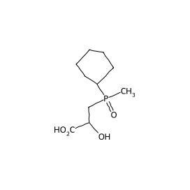 CP(=O)(CC(O)C(=O)O)C1CCCCC1